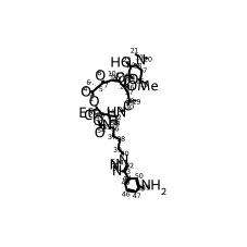 CC[C@H]1OC(=O)[C@H](C)C(=O)[C@H](C)[C@@H](O[C@@H]2O[C@H](C)CC(N(C)C)C2O)[C@](C)(OC)C[C@@H](C)CN[C@H](C)[C@H]2N(CCCCCn3cc(-c4cccc(N)c4)nn3)C(=O)O[C@]12Cl